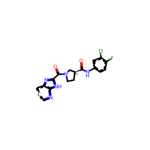 O=C(Nc1ccc(F)c(Cl)c1)[C@H]1CCN(C(=O)c2nc3cccnc3[nH]2)C1